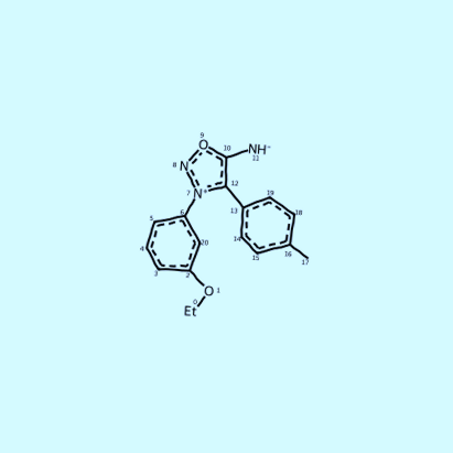 CCOc1cccc(-[n+]2noc([NH-])c2-c2ccc(C)cc2)c1